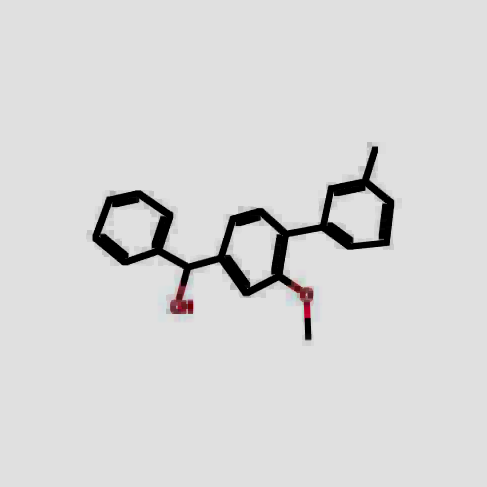 COc1cc(C(O)c2ccccc2)ccc1-c1cccc(C)c1